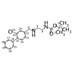 CC(C)(C)OC(=O)NCCNCc1ccc(-c2ccccc2)c(Cl)c1